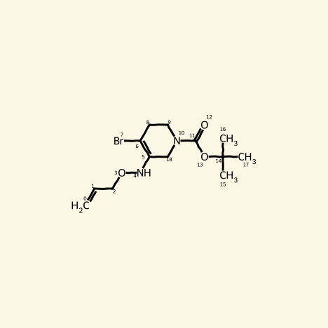 C=CCONC1=C(Br)CCN(C(=O)OC(C)(C)C)C1